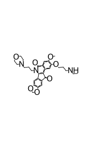 CCNCCCOc1cc2c3c(n(CCCN4CCOCC4)c(=O)c2cc1OC)-c1cc2c(cc1C3=O)OCO2